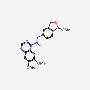 COB1OCc2cc(CN(I)c3ncnc4cc(OC)c(OC)cc34)ccc21